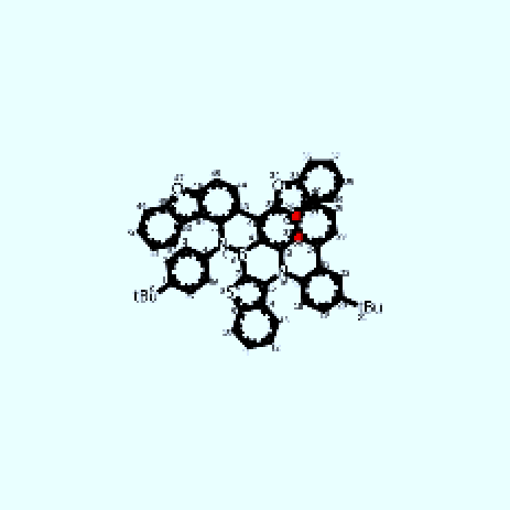 CC(C)(C)c1ccc(N2B3c4sc5ccccc5c4N(c4ccc(C(C)(C)C)cc4-c4ccccc4)c4cc5c(oc6ccccc65)c(c43)-c3ccc4oc5ccccc5c4c32)cc1